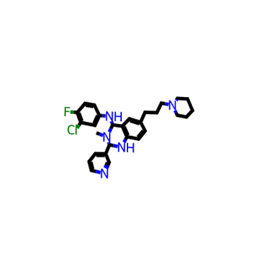 CN1C(c2cccnc2)Nc2ccc(CCCN3CCCCC3)cc2C1Nc1ccc(F)c(Cl)c1